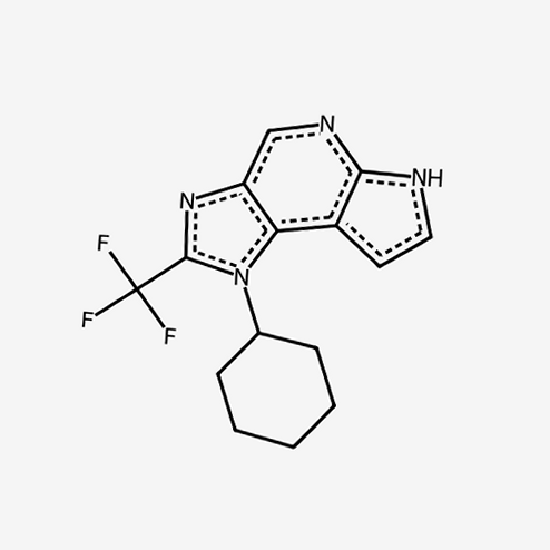 FC(F)(F)c1nc2cnc3[nH]ccc3c2n1C1CCCCC1